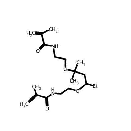 C=C(C)C(=O)NCCOC(CC)CC(C)(C)OCCNC(=O)C(=C)C